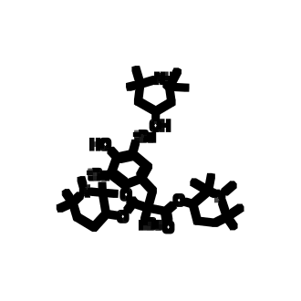 CC1(C)CC(O)CC(C)(C)N1.CCCCC(Cc1cc(C(C)(C)C)c(O)c(C(C)(C)C)c1)(C(=O)OC1CCC(C)(C)N(C)C1(C)C)C(=O)OC1CCC(C)(C)N(C)C1(C)C